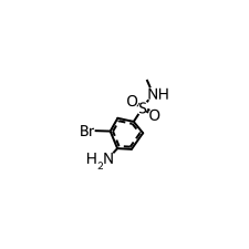 CNS(=O)(=O)c1ccc(N)c(Br)c1